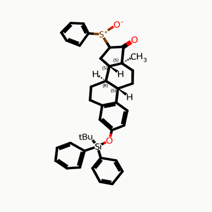 CC(C)(C)[Si](Oc1ccc2c(c1)CC[C@@H]1[C@@H]2CC[C@]2(C)C(=O)C([S+]([O-])c3ccccc3)C[C@@H]12)(c1ccccc1)c1ccccc1